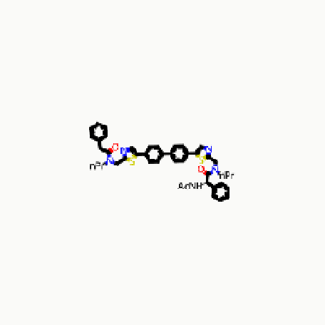 CCCN(Cc1ncc(-c2ccc(-c3ccc(-c4cnc(CN(CCC)C(=O)[C@@H](NC(C)=O)c5ccccc5)s4)cc3)cc2)s1)C(=O)Cc1ccccc1